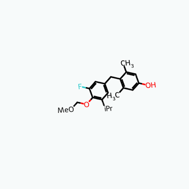 COCOc1c(F)cc(Cc2c(C)cc(O)cc2C)cc1C(C)C